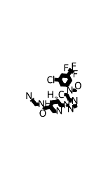 CC(c1ncnn1-c1ccc(C(=O)NCC#N)cn1)N(C=O)c1cc(Cl)cc(C(F)(F)F)c1